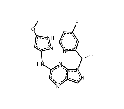 COc1cc(Nc2cnc3cnn([C@@H](C)c4cc(F)ccn4)c3n2)n[nH]1